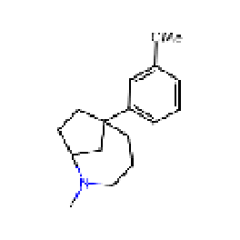 COc1cccc(C23CCCN(C)C(CC2)C3)c1